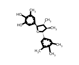 Cc1cc([C@@H]2O[C@@H](c3cc(C)c(O)c(O)c3)[C@H](C)[C@H]2C)cc(C)c1C